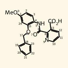 COc1ccc(NC(=O)c2ncccc2C(=O)O)c(OCc2ccccc2)c1